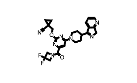 N#CC1(COc2nc(C(=O)N3CC(F)(F)C3)cc(N3CCC(C4=NCc5ncccc54)CC3)n2)CC1